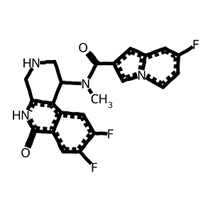 CN(C(=O)c1cc2cc(F)ccn2c1)C1CNCc2[nH]c(=O)c3cc(F)c(F)cc3c21